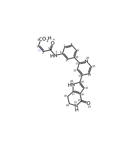 O=C(O)/C=C\C(=O)Nc1cccc(-c2cc(-c3cc4c([nH]3)CCNC4=O)ccn2)c1